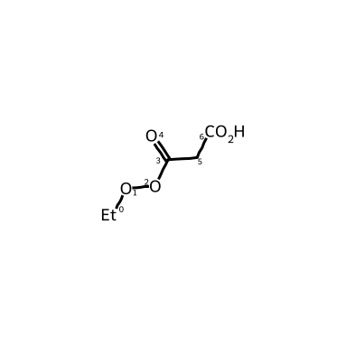 CCOOC(=O)CC(=O)O